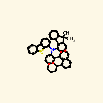 CC1(C)c2ccccc2-c2c(N(c3ccccc3-c3cccc4cccc(C5CCCCC5)c34)c3cccc4c3sc3ccccc34)cccc21